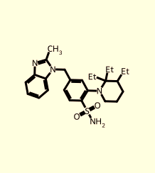 CCC1CCCN(c2cc(Cn3c(C)nc4ccccc43)ccc2S(N)(=O)=O)C1(CC)CC